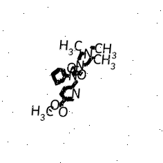 CCN1[C@H](C)CN(S(=O)(=O)N(Cc2ccc(C(=O)OC)cn2)c2ccccc2)C[C@@H]1C